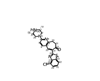 C[C@@H]1CN(c2ccc3c(n2)CCC(=O)C(c2nc4c(Cl)cccc4s2)=C3)C[C@H](C)N1